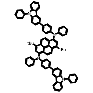 CC(C)(C)c1cc(N(c2ccccc2)c2ccc(-c3ccc4c(c3)c3ccccc3n4-c3ccccc3)cc2)c2ccc3c(C(C)(C)C)cc(N(c4ccccc4)c4ccc(-c5ccc6c(c5)c5ccccc5n6-c5ccccc5)cc4)c4ccc1c2c43